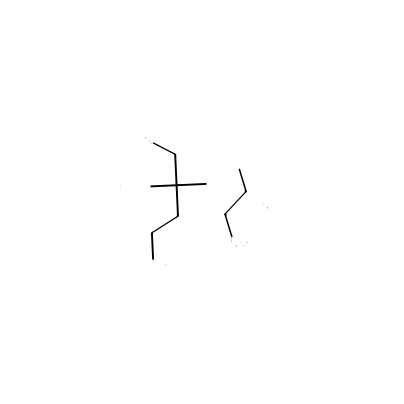 CCCCCCCCCCCCC(C)(CN)S(=O)(=O)O.CNCCS(=O)(=O)O.[NaH]